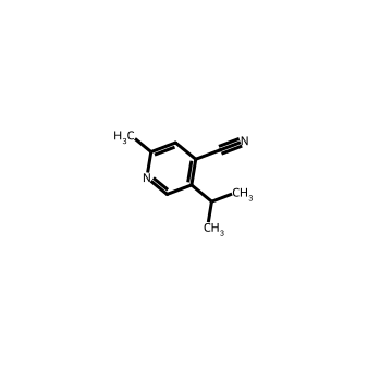 Cc1cc(C#N)c(C(C)C)cn1